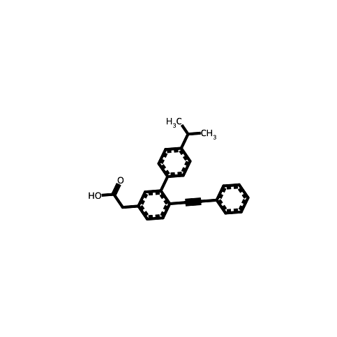 CC(C)c1ccc(-c2cc(CC(=O)O)ccc2C#Cc2ccccc2)cc1